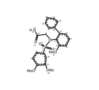 COc1ccc(S(=O)(=O)N(CC(N)=O)c2c(OC)cccc2-c2ccccc2)cc1OC